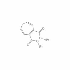 CC(C)OC(=O)C1=C(C(=O)OC(C)C)C=CCC=C1